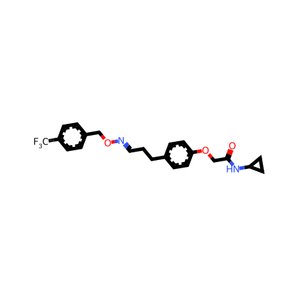 O=C(COc1ccc(CCC=NOCc2ccc(C(F)(F)F)cc2)cc1)NC1CC1